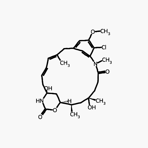 COc1cc2cc(c1Cl)N(C)C(=O)CC[C@](C)(O)C[C@@H](C)[C@@H]1C[C@](O)(C/C=C/C=C(\C)C2)NC(=O)O1